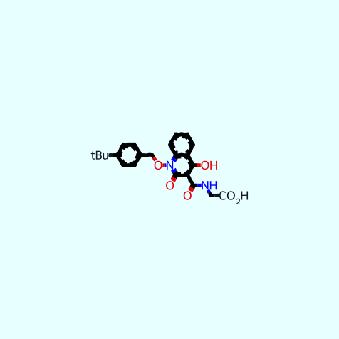 CC(C)(C)c1ccc(COn2c(=O)c(C(=O)NCC(=O)O)c(O)c3ccccc32)cc1